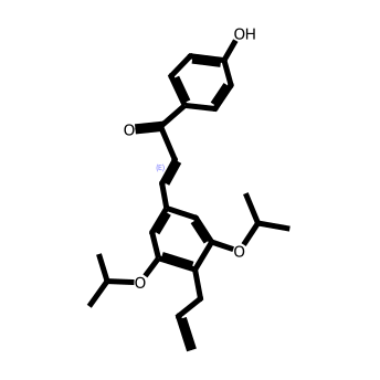 C=CCc1c(OC(C)C)cc(/C=C/C(=O)c2ccc(O)cc2)cc1OC(C)C